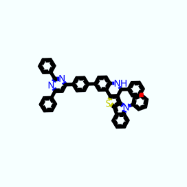 c1ccc(-c2cc(-c3ccc(-c4ccc5c(c4)-c4sc6c7ccccc7n(-c7ccccc7)c6c4C(c4ccccc4)N5)cc3)nc(-c3ccccc3)n2)cc1